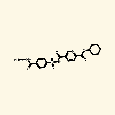 CCCCCCNC(=O)c1ccc(S(=O)(=O)NC(=O)c2ccc(C(=O)OC3CCCCC3)nc2)cc1